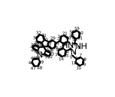 N=C(NC(/N=C/c1ccccc1)c1ccccc1-c1ccccc1-c1ccc2c(c1)-c1ccccc1C21c2ccccc2N(c2ccccc2)c2ccccc21)c1ccccc1